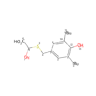 CC(C)(C)c1cc(CSC(O)C(=O)O)cc(C(C)(C)C)c1O